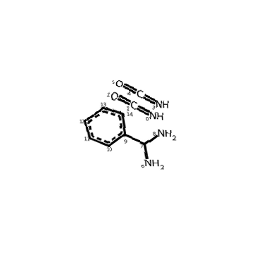 N=C=O.N=C=O.NC(N)c1ccccc1